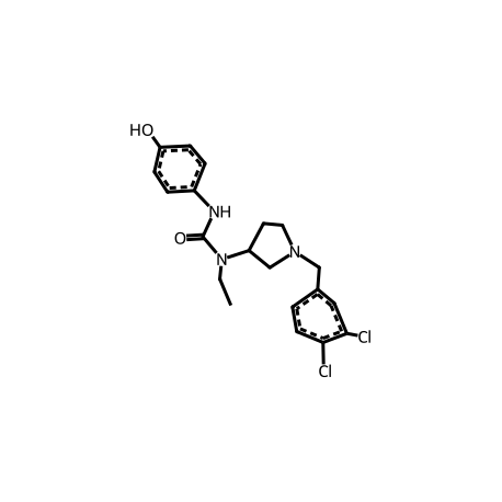 CCN(C(=O)Nc1ccc(O)cc1)C1CCN(Cc2ccc(Cl)c(Cl)c2)C1